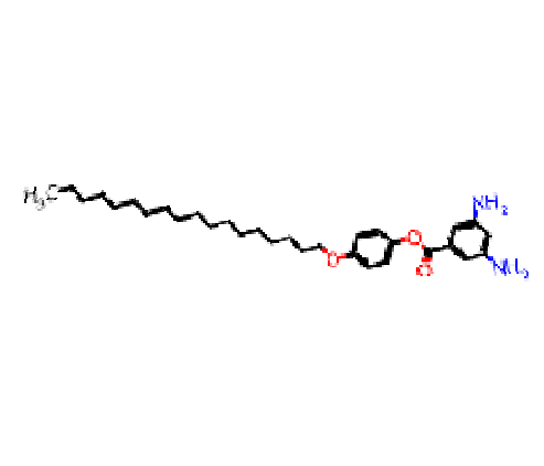 CCCCCCCCCCCCCCCCCCOc1ccc(OC(=O)c2cc(N)cc(N)c2)cc1